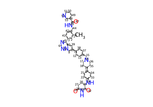 Cc1cc(-c2ncnn3cc(-c4ccc(CN5CCC(c6ccc(NC7CCC(=O)NC7=O)cc6)CC5)cc4)cc23)ccc1CNC(=O)c1cccnc1